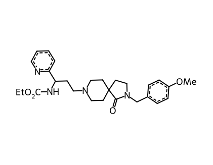 CCOC(=O)NC(CCN1CCC2(CC1)CCN(Cc1ccc(OC)cc1)C2=O)c1ccccn1